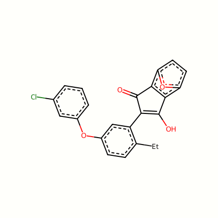 CCc1ccc(Oc2cccc(Cl)c2)cc1C1=C(O)c2c(c3ccc2o3)C1=O